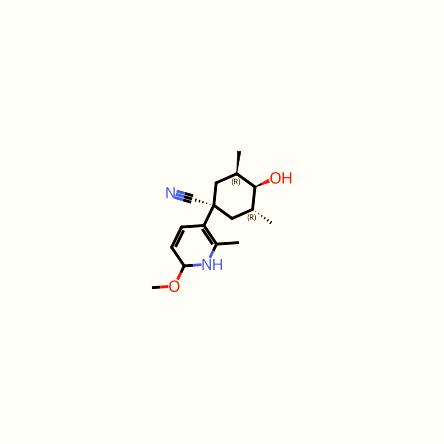 COC1C=CC([C@]2(C#N)C[C@@H](C)[C@H](O)[C@H](C)C2)=C(C)N1